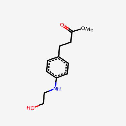 COC(=O)CCc1ccc(NCCO)cc1